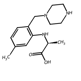 Cc1ccc(CN2CCNCC2)c(N[C@@H](C)C(=O)O)c1